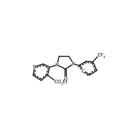 CCOC(=O)c1ccncc1N1CCN(c2cccc(C(F)(F)F)c2)C1=O